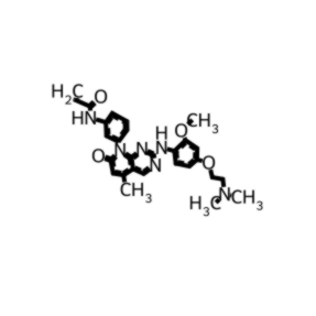 C=CC(=O)Nc1cccc(-n2c(=O)cc(C)c3cnc(Nc4ccc(OCCN(C)C)cc4OC)nc32)c1